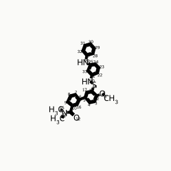 COc1ccc(-c2cccc(C(=O)N(C)C)c2)cc1SNc1cccc(Nc2ccccc2)c1